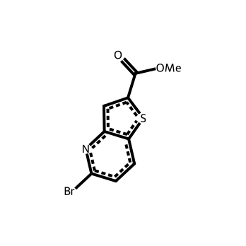 COC(=O)c1cc2nc(Br)ccc2s1